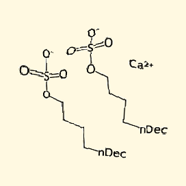 CCCCCCCCCCCCCCOS(=O)(=O)[O-].CCCCCCCCCCCCCCOS(=O)(=O)[O-].[Ca+2]